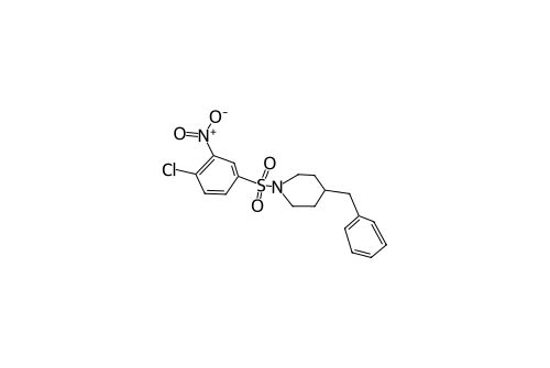 O=[N+]([O-])c1cc(S(=O)(=O)N2CCC(Cc3ccccc3)CC2)ccc1Cl